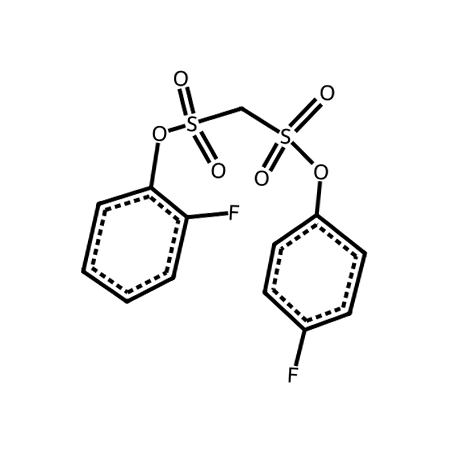 O=S(=O)(CS(=O)(=O)Oc1ccccc1F)Oc1ccc(F)cc1